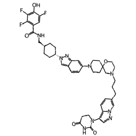 O=C1CCN(c2cnn3cc(CCCN4CCOC5(CCN(c6ccc7cn([C@H]8CC[C@H](CNC(=O)c9cc(F)c(O)c(F)c9F)CC8)nc7c6)CC5)C4)ccc23)C(=O)N1